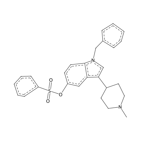 CN1CCC(c2cn(Cc3ccccc3)c3ccc(OS(=O)(=O)c4ccccc4)cc23)CC1